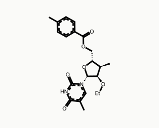 CCO[C@@H]1[C@H](C)[C@@H](COC(=O)c2ccc(C)cc2)O[C@H]1n1cc(C)c(=O)[nH]c1=O